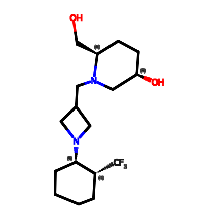 OC[C@H]1CC[C@@H](O)CN1CC1CN([C@H]2CCCC[C@H]2C(F)(F)F)C1